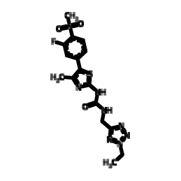 CCn1nnc(CNC(=O)Nc2nc(C)c(-c3ccc(S(C)(=O)=O)c(F)c3)s2)n1